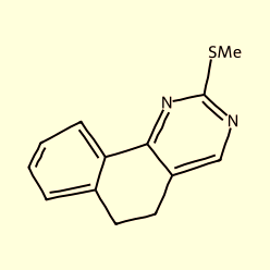 CSc1ncc2c(n1)-c1ccccc1CC2